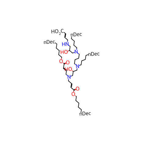 CCCCCCCCCCCCCCCOC(=O)/C=C/CN(C/C=C/C(=O)OCCCCCCCCCCCCCCC)CC(O)CN(CCCCCCCCCCCCCC)CCCCN(CCCCCCCCCCCCCC)CC(O)CNC/C=C/C(=O)O